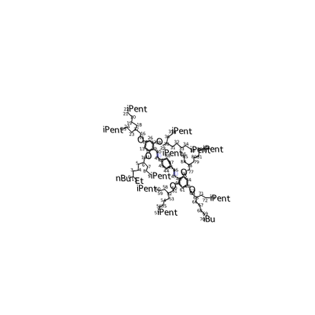 CCCCC(CC)CCCC(CCC(C)CCC)COc1cc(OCC(CCCCC(C)CCC)CCC(C)CCC)cc(OCC(CCCCC(C)CCC)CCC(C)CCC)c1/C=C/c1ccc(/C=C/c2c(OCC(CCCCC(C)CCC)CCC(C)CCC)cc(OCC(CCCCC(C)CC)CCC(C)CCC)cc2OCC(CCCCC(C)CCC)CCC(C)CCC)cc1